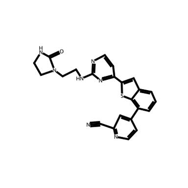 N#Cc1cc(-c2cccc3cc(-c4ccnc(NCCN5CCNC5=O)n4)sc23)ccn1